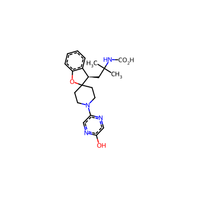 CC(C)(C[C@@H]1c2ccccc2OC12CCN(c1cnc(O)cn1)CC2)NC(=O)O